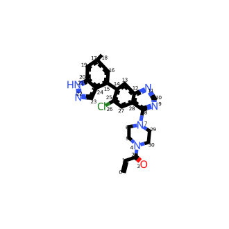 C=CC(=O)N1CCN(c2ncnc3cc(-c4cc(C)cc5[nH]ncc45)c(Cl)cc23)CC1